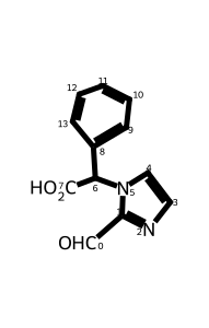 O=Cc1nccn1C(C(=O)O)c1ccccc1